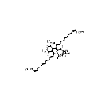 CCCCCCCC/C=C\CCCCCCCCc1c(C(N)=O)c(C(=O)NCC)c(CCCCCCCC/C=C\CCCCCCCC)c(C(=O)N(CC)CCCCCC)c1C(N)=O